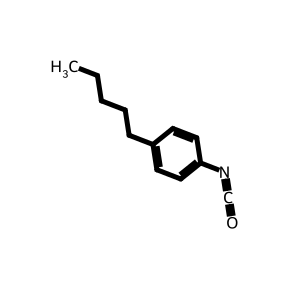 CCCCCc1ccc(N=C=O)cc1